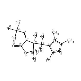 [2H]c1nc(C)n(C)c1C([2H])([2H])[C@]1([2H])[C@H](CC([2H])([2H])[2H])C(=O)OC1([2H])[2H]